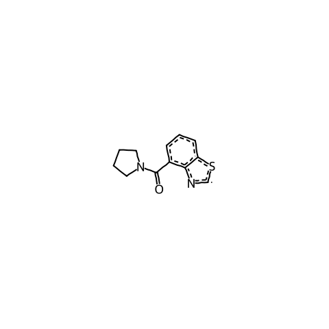 O=C(c1cccc2s[c]nc12)N1CCCC1